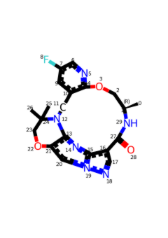 C[C@@H]1COc2ncc(F)cc2CN2c3nc4c(cnn4cc3OCC2(C)C)C(=O)N1